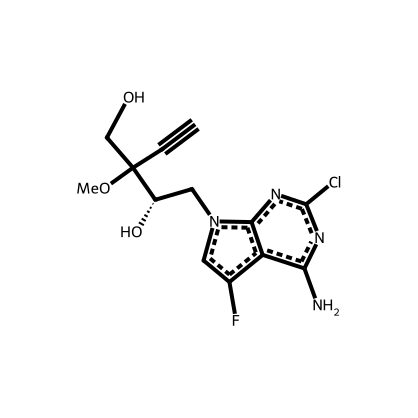 C#CC(CO)(OC)[C@@H](O)Cn1cc(F)c2c(N)nc(Cl)nc21